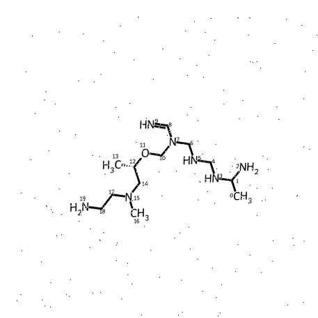 CC(N)NCNCN(C=N)CO[C@@H](C)CN(C)CCN